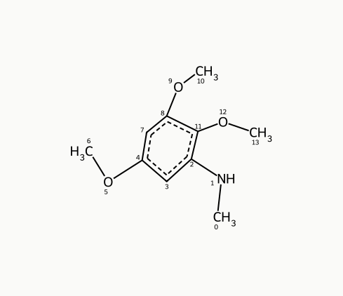 CNc1cc(OC)cc(OC)c1OC